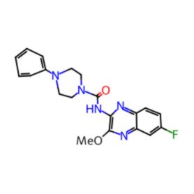 COc1nc2cc(F)ccc2nc1NC(=O)N1CCN(c2ccccc2)CC1